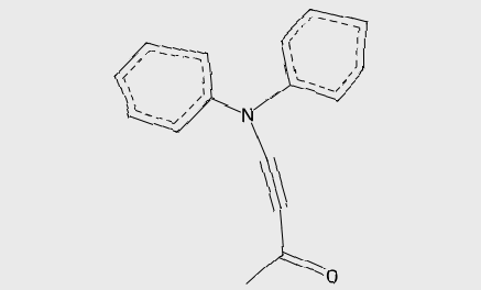 CC(=O)C#CN(c1ccccc1)c1ccccc1